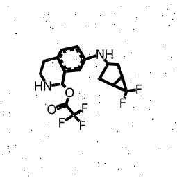 O=C(OC1NCCc2ccc(NC3CC4C(C3)C4(F)F)cc21)C(F)(F)F